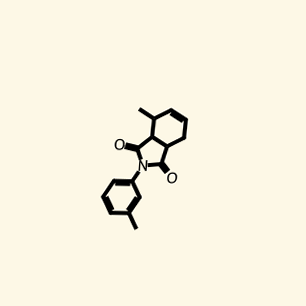 Cc1cccc(N2C(=O)C3CC=CC(C)C3C2=O)c1